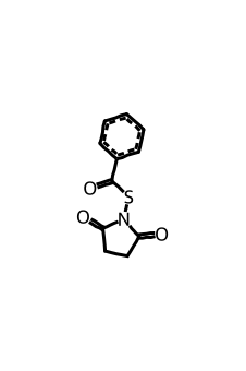 O=C(SN1C(=O)CCC1=O)c1ccccc1